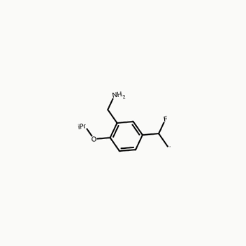 [CH2]C(F)c1ccc(OC(C)C)c(CN)c1